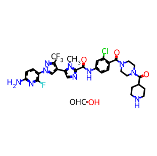 Cn1c(-c2cn(-c3ccc(N)nc3F)nc2C(F)(F)F)cnc1C(=O)Nc1ccc(C(=O)N2CCN(C(=O)C3CCNCC3)CC2)c(Cl)c1.O=CO